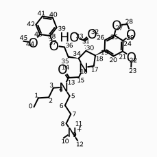 CCCCN(CCCC[N+](C)(C)C)C(=O)CN1C[C@H](c2cc(OC)c3c(c2)OCO3)[C@@H](C(=O)O)[C@@H]1CCOc1ccccc1OC